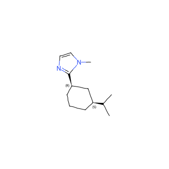 CC(C)[C@H]1CCC[C@@H](c2nccn2C)C1